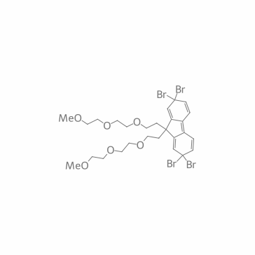 COCCOCCOCCC1(CCOCCOCCOC)C2=CC(Br)(Br)C=CC2=C2C=CC(Br)(Br)C=C21